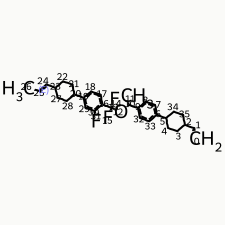 C=CC1CCC(c2ccc(C(C)OC(F)(F)c3ccc(C4CCC(/C=C/C)CC4)cc3F)cc2)CC1